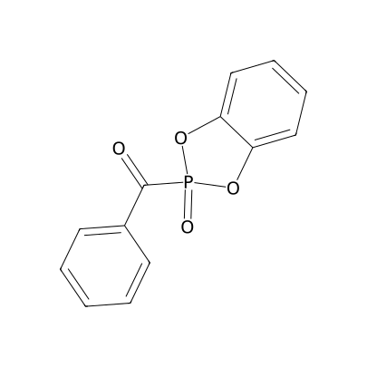 O=C(c1ccccc1)P1(=O)Oc2ccccc2O1